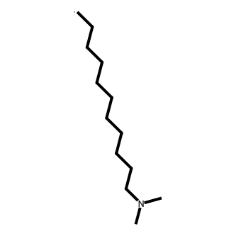 [CH2]CCCCCCCCCCN(C)C